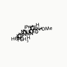 COCCNC(=O)c1ncc(C(C)C)c2cc(Nc3ccnc(N4CC[C@@H](O)[C@@](C)(F)C4)n3)ncc12